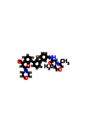 C[C@@H]1COC[C@H](C)N1CC(=O)Nc1ccc2sc3c(-c4cccc5c(=O)cc(N6CCOCC6)oc45)cccc3c2c1